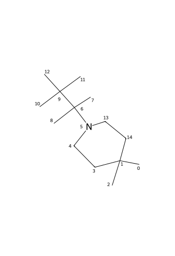 CC1(C)CCN(C(C)(C)C(C)(C)C)CC1